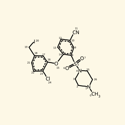 CN1CCN(S(=O)(=O)c2cc(C#N)ccc2Oc2cc(CI)ccc2Cl)CC1